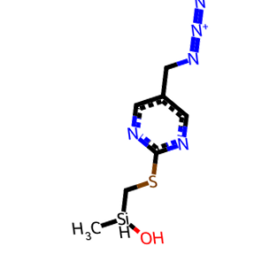 C[SiH](O)CSc1ncc(CN=[N+]=[N-])cn1